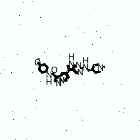 COC1CCC(NC(=O)c2cnn3ccc(-c4c[nH]c5nc(NCC6CCN(C)CC6)ncc45)cc23)CC1